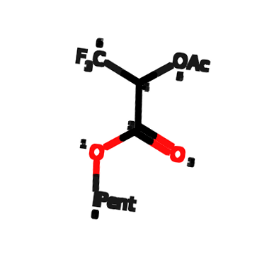 CCCC(C)OC(=O)C(OC(C)=O)C(F)(F)F